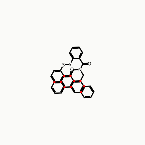 O=C(c1ccccc1SSc1ccccc1C(=O)N(Cc1ccccc1)Cc1ccccc1)N(Cc1ccccc1)Cc1ccccc1